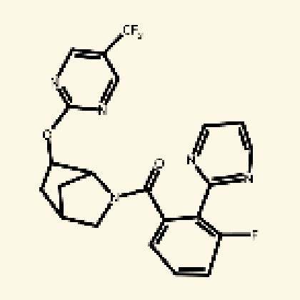 O=C(c1cccc(F)c1-c1ncccn1)N1CC2CC(Oc3ncc(C(F)(F)F)cn3)C1C2